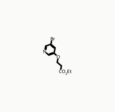 CCOC(=O)CCOc1cncc(Br)c1